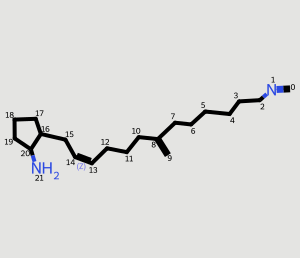 C=NCCCCCCC(=C)CCC/C=C\CC1CCCC1N